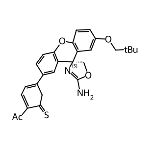 CC(=O)C1=CC=C(c2ccc3c(c2)[C@@]2(COC(N)=N2)c2cc(OCC(C)(C)C)ccc2O3)CC1=S